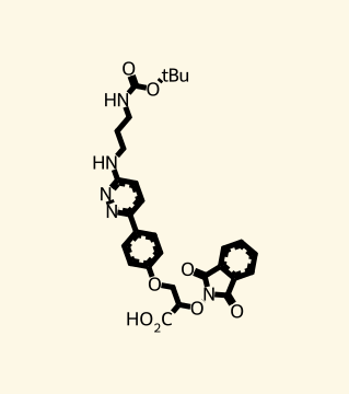 CC(C)(C)OC(=O)NCCCNc1ccc(-c2ccc(OCC(ON3C(=O)c4ccccc4C3=O)C(=O)O)cc2)nn1